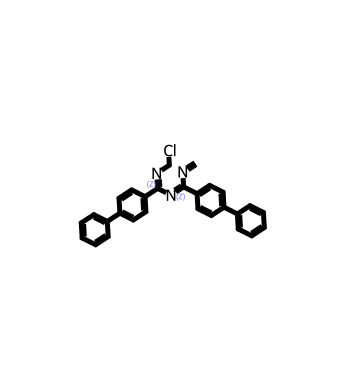 C=N/C(=N\C(=N/CCl)c1ccc(-c2ccccc2)cc1)c1ccc(-c2ccccc2)cc1